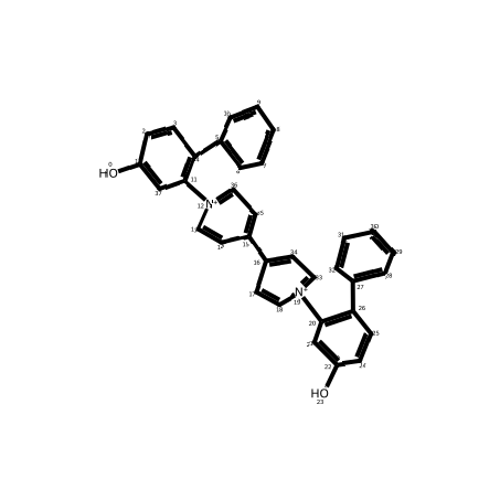 Oc1ccc(-c2ccccc2)c(-[n+]2ccc(-c3cc[n+](-c4cc(O)ccc4-c4ccccc4)cc3)cc2)c1